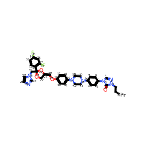 CC(C)CCn1ncn(-c2ccc(N3CCN(c4ccc(OCC5COC(Cn6ccnc6)(c6ccc(F)cc6F)O5)cc4)CC3)cc2)c1=O